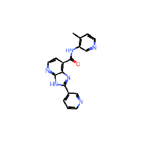 Cc1ccncc1NC(=O)c1ccnc2[nH]c(-c3cccnc3)nc12